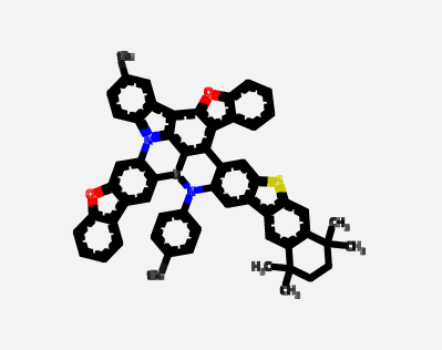 CC(C)(C)c1ccc(N2B3c4cc5c(cc4-n4c6ccc(C(C)(C)C)cc6c6c7oc8ccccc8c7c(c3c64)-c3cc4sc6cc7c(cc6c4cc32)C(C)(C)CCC7(C)C)oc2ccccc25)cc1